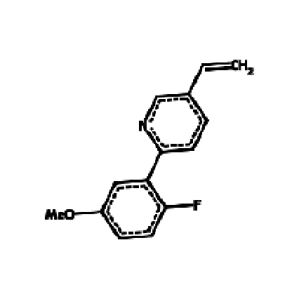 C=Cc1ccc(-c2cc(OC)ccc2F)nc1